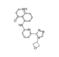 O=c1cc[nH]c2cccc(Nc3cccc(-c4nncn4C4COC4)n3)c12